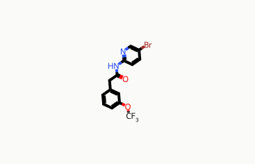 O=C(Cc1cccc(OC(F)(F)F)c1)Nc1ccc(Br)cn1